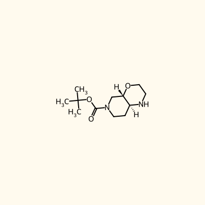 CC(C)(C)OC(=O)N1CC[C@@H]2NCCO[C@H]2C1